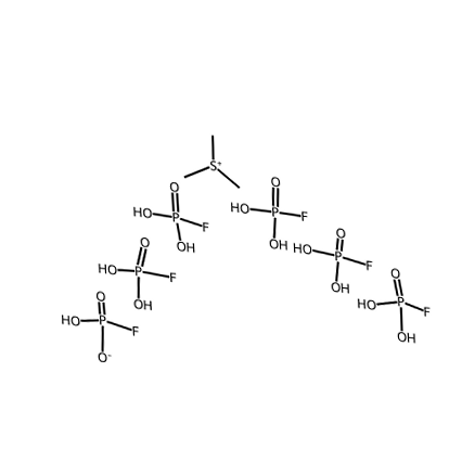 C[S+](C)C.O=P(O)(O)F.O=P(O)(O)F.O=P(O)(O)F.O=P(O)(O)F.O=P(O)(O)F.O=P([O-])(O)F